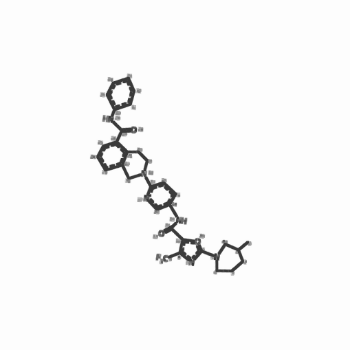 CC1CCCN(c2nc(C(F)(F)F)c(C(=O)Nc3ccc(N4CCc5c(cccc5C(=O)Nc5ccccc5)C4)nc3)o2)C1